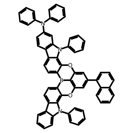 c1ccc(N(c2ccccc2)c2ccc3c4ccc5c(c4n(-c4ccccc4)c3c2)Oc2cc(-c3cccc4ccccc34)cc3c2B5c2ccc4c5ccccc5n(-c5ccccc5)c4c2O3)cc1